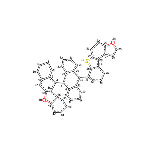 c1ccc2c(-c3c4ccccc4c(-c4cccc5c4sc4ccc6occc6c45)c4ccccc34)c3c(cc2c1)oc1ccccc13